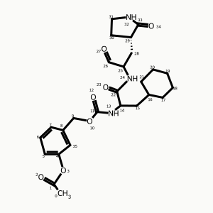 CC(=O)Oc1cccc(COC(=O)NC(CC2CCCCC2)C(=O)NC(C=O)C[C@@H]2CCNC2=O)c1